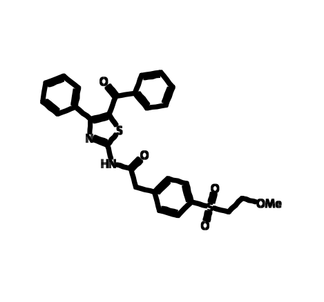 COCCS(=O)(=O)c1ccc(CC(=O)Nc2nc(-c3ccccc3)c(C(=O)c3ccccc3)s2)cc1